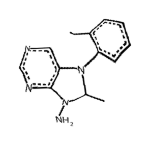 Cc1ccccc1N1c2cncnc2N(N)C1C